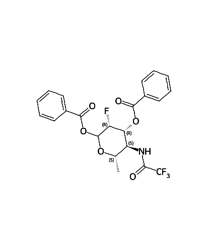 C[C@@H]1OC(OC(=O)c2ccccc2)[C@H](F)[C@H](OC(=O)c2ccccc2)[C@H]1NC(=O)C(F)(F)F